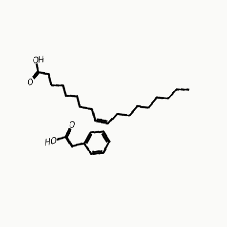 CCCCCCCC/C=C\CCCCCCCC(=O)O.O=C(O)Cc1ccccc1